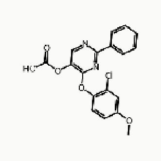 COc1ccc(Oc2nc(-c3ccccc3)ncc2OC(=O)O)c(Cl)c1